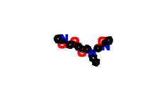 c1ccc2cc(N(c3ccc(-c4nc5ccccc5o4)cc3)c3ccc4c(c3)oc3cc5c(cc34)oc3cc(-c4nc6ccccc6o4)ccc35)ccc2c1